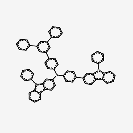 c1ccc(-c2cc(-c3ccccc3)cc(-c3ccc(N(c4ccc(-c5ccc6c7ccccc7n(-c7ccccc7)c6c5)cc4)c4ccc5c6ccccc6n(-c6ccccc6)c5c4)cc3)c2)cc1